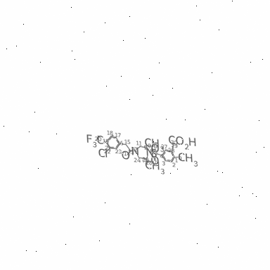 Cc1ccc(S(=O)(=O)N2C(C)CN(C(=O)Cc3ccc(C(F)(F)F)c(Cl)c3)C[C@@H]2C)cc1CC(=O)O